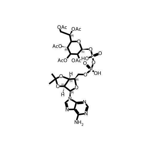 CC(=O)OC[C@@H](OC(C)=O)C1O[C@@H](OP(=O)(O)OP(=O)(O)OC[C@H]2O[C@@H](n3cnc4c(N)ncnc43)[C@H]3OC(C)(C)O[C@H]32)C(OC(C)=O)C(OC(C)=O)[C@@H]1OC(C)=O